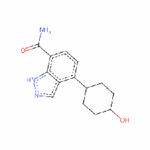 NC(=O)c1ccc(C2CCC(O)CC2)c2cn[nH]c12